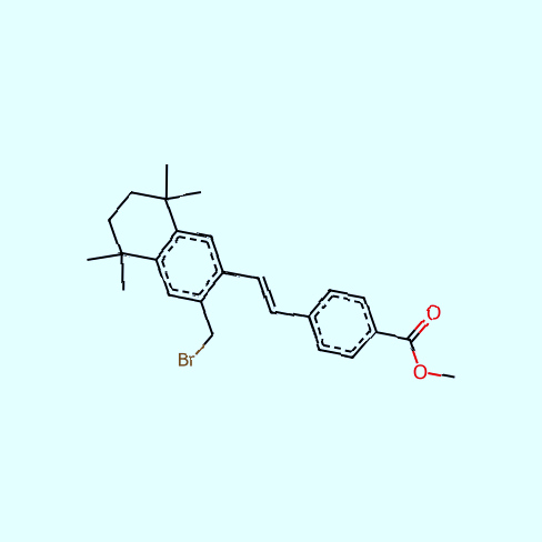 COC(=O)c1ccc(C=Cc2cc3c(cc2CBr)C(C)(C)CCC3(C)C)cc1